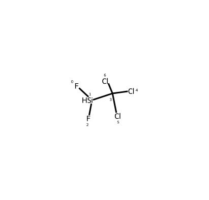 F[SiH](F)C(Cl)(Cl)Cl